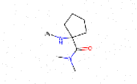 CC(C)NC1(C(=O)N(C)C)CCCC1